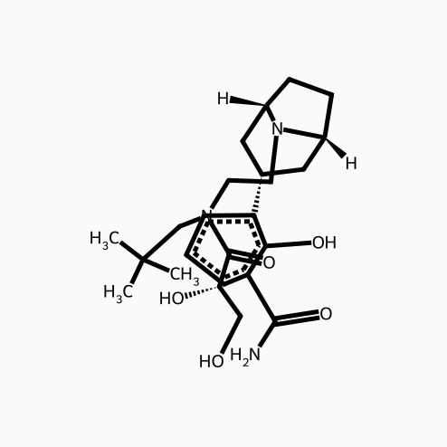 CC(C)(C)CN(CCN1[C@@H]2CC[C@H]1C[C@@H](c1cccc(C(N)=O)c1O)C2)C(=O)[C@@H](O)CO